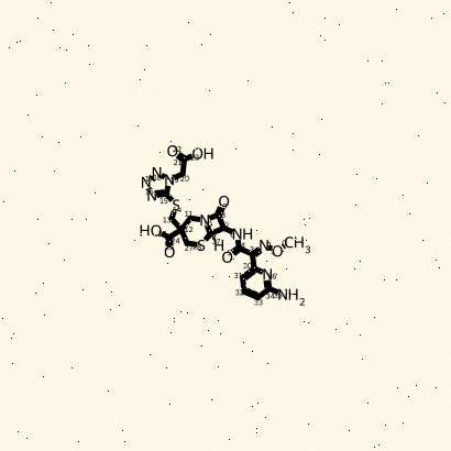 CON=C(C(=O)NC1C(=O)N2CC(CSc3nnnn3CC(=O)O)(C(=O)O)CS[C@H]12)c1cccc(N)n1